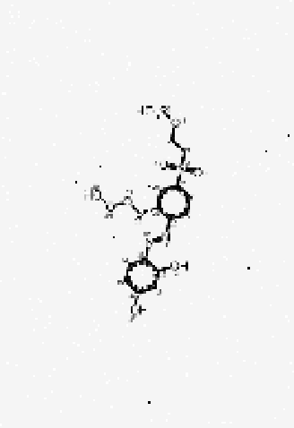 O=S(=O)(O)OCCS(=O)(=O)c1ccc(/N=N/c2ccc(O)cc2O)c(SOOO)c1